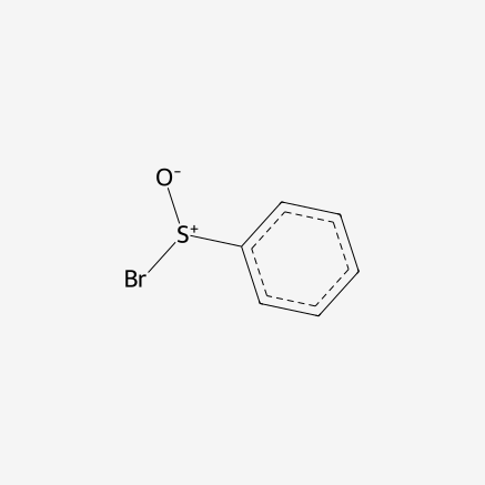 [O-][S+](Br)c1ccccc1